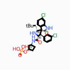 CC(C)(C)C[C@H]1N[C@@H](C(=O)N[C@H]2CC[C@@H](OP(=O)(O)O)C2)[C@H](c2cccc(Cl)c2F)[C@@]12C(=O)Nc1cc(Cl)ccc12